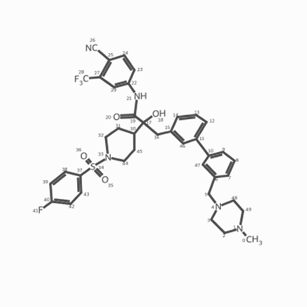 CN1CCN(Cc2cccc(-c3cccc(CC(O)(C(=O)Nc4ccc(C#N)c(C(F)(F)F)c4)C4CCN(S(=O)(=O)c5ccc(F)cc5)CC4)c3)c2)CC1